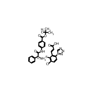 CC(C)(C)OC(=O)c1ccc(NC(=O)[C@@H](N)c2ccccc2)cc1.O=C(O)C=Cc1c(-n2cnnn2)ccc(Cl)c1F